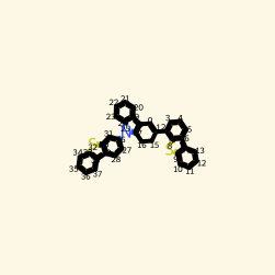 C1=C(c2cccc3c2sc2ccccc23)CCc2c1c1ccccc1n2-c1ccc2c(c1)sc1ccccc12